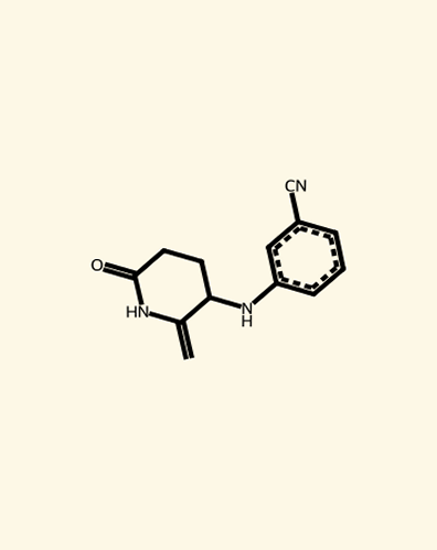 C=C1NC(=O)CCC1Nc1cccc(C#N)c1